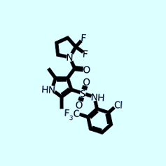 Cc1[nH]c(C)c(S(=O)(=O)Nc2c(Cl)cccc2C(F)(F)F)c1C(=O)N1CCCC1(F)F